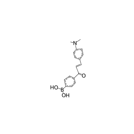 CN(C)c1ccc(/C=C/C(=O)c2ccc(B(O)O)cc2)cc1